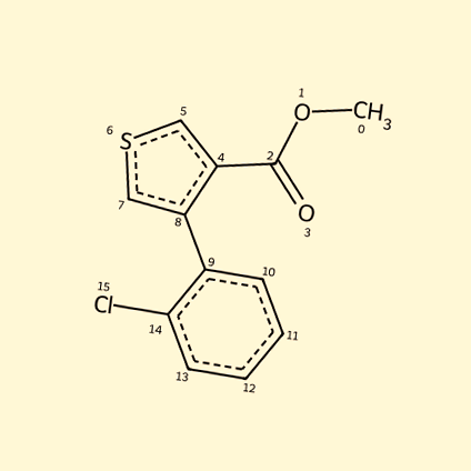 COC(=O)c1cscc1-c1ccccc1Cl